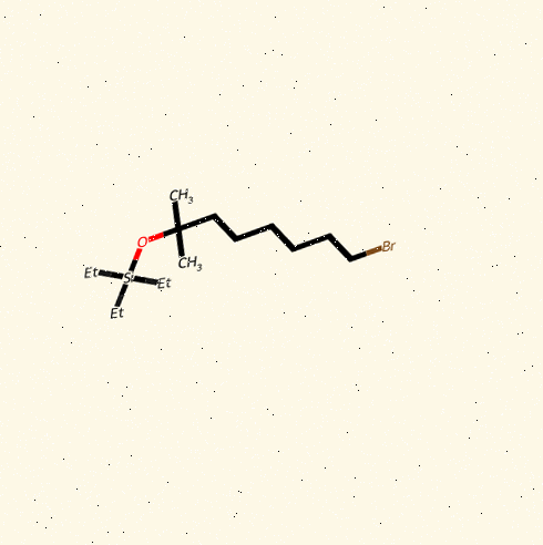 CC[Si](CC)(CC)OC(C)(C)CCCCCCBr